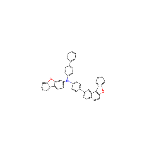 c1ccc(-c2ccc(N(c3ccc(-c4ccc5ccc6oc7ccccc7c6c5c4)cc3)c3ccc4c(c3)oc3ccccc34)cc2)cc1